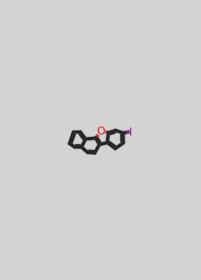 Ic1ccc2c(c1)oc1c3ccccc3ccc21